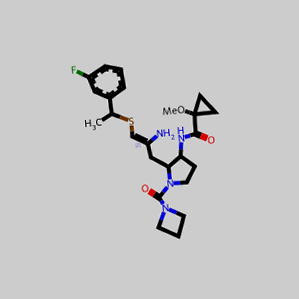 COC1(C(=O)NC2CCN(C(=O)N3CCC3)C2C/C(N)=C/SC(C)c2cccc(F)c2)CC1